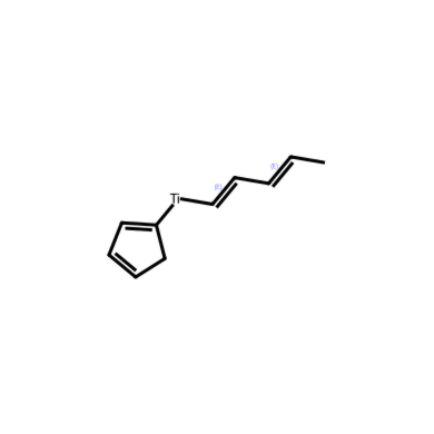 C/C=C/C=[CH]/[Ti][C]1=CC=CC1